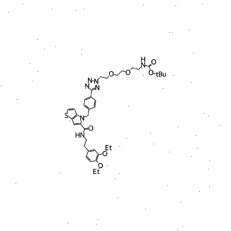 CCOc1ccc(CCNC(=O)c2cc3sccc3n2Cc2ccc(-c3nnn(CCOCCOCCNC(=O)OC(C)(C)C)n3)cc2)cc1OCC